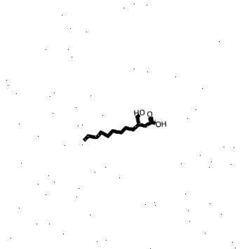 CCCCCCCCCC(CO)CC(=O)O